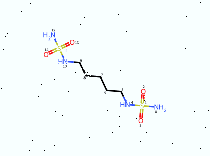 NS(=O)(=O)NCCCCCNS(N)(=O)=O